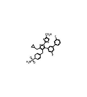 NS(=O)(=O)C1C=CC(Cc2c(CC3CC3)nn(-c3nc(C(=O)O)cs3)c2-c2cc(F)cc(-c3cccc(F)c3)c2)=CC1